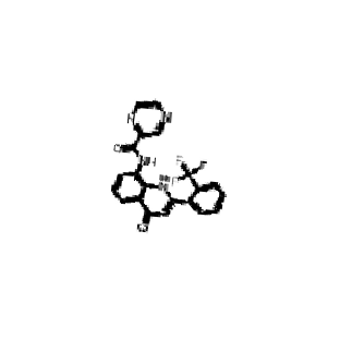 O=C(Nc1cccc2c(=O)cc(-c3ccccc3C(F)(F)F)[nH]c12)c1cnccn1